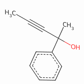 CC#CC(C)(O)c1ccccc1